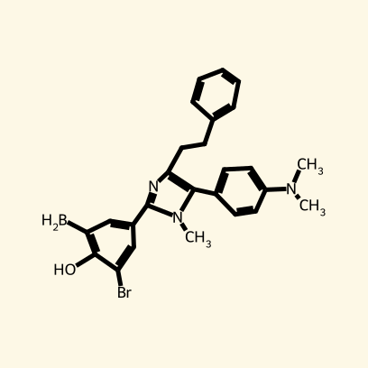 Bc1cc(-c2nc(CCc3ccccc3)c(-c3ccc(N(C)C)cc3)n2C)cc(Br)c1O